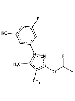 Cc1c(OC(F)F)nn(-c2cc(F)cc(C#N)c2)c1C